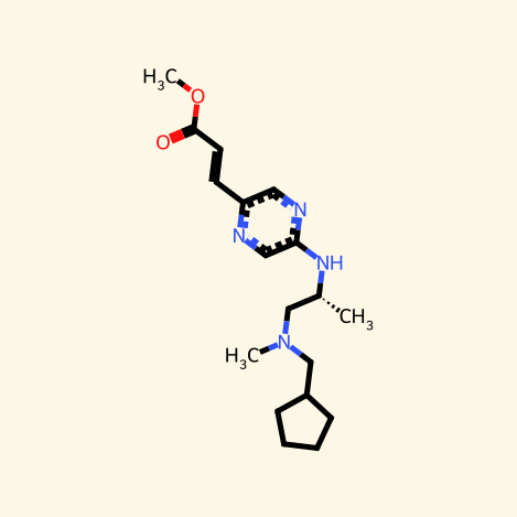 COC(=O)/C=C/c1cnc(N[C@H](C)CN(C)CC2CCCC2)cn1